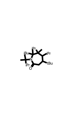 CCC(C)C1(C)N(C(C)(C)C(C)C)C(=O)CC(C(C)(C)C)C(C(C)C)C1(C)C(C)C